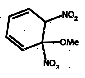 COC1([N+](=O)[O-])C=CC=CC1[N+](=O)[O-]